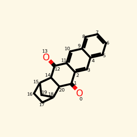 O=C1c2cc3ccccc3cc2C(=O)C2C3CCC(C3)C12